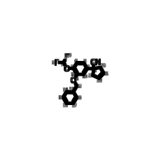 N#CC1(c2ccc(OC(F)F)c(OCc3ccccc3)c2)CC=CC1